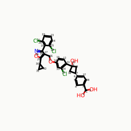 OC(O)c1ccc([C@H]2C[C@@](O)(c3ccc(OCc4c(-c5c(Cl)cccc5Cl)noc4C4CC4)cc3Cl)C2)cc1